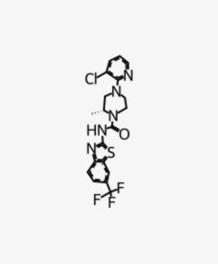 C[C@@H]1CN(c2ncccc2Cl)CCN1C(=O)Nc1nc2ccc(C(F)(F)F)cc2s1